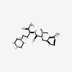 CN(C)[C@@H](Cc1cccc(O)c1)C(=O)/N=C(\CCN1CCOCC1)C(N)=O